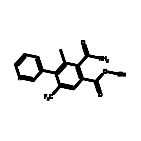 Cc1c(C(N)=O)c(C(=O)OC(C)(C)C)cc(C(F)(F)F)c1-c1cccnc1